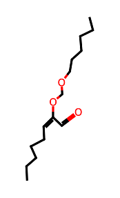 CCCCC/C=C(\C=O)OCOCCCCCC